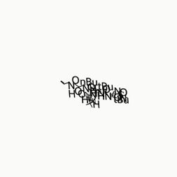 C=CCNC(=O)C(=O)C(CCCC)NC(=O)[C@@H]1[C@@H]2[C@H](CN1C(=O)[C@@H](NC(=O)N[C@H](CN(C)S(=O)(=O)N(C)C)C(C)(C)C)C(C)(C)C)C2(C)C